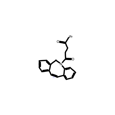 CC(C)C(=O)CCC(=O)N1Cc2ccccc2/C=C\c2ccccc21